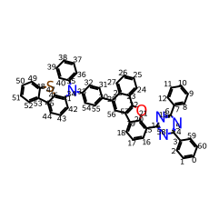 c1ccc(-c2nc(-c3ccccc3)nc(-c3cccc4c3oc3c5ccccc5c(-c5ccc(N(c6ccccc6)c6cccc7c6sc6ccccc67)cc5)cc43)n2)cc1